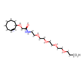 O=C(O)CCOCCOCCOCCOCCNC(=O)COC1/C=C\CCCCC1